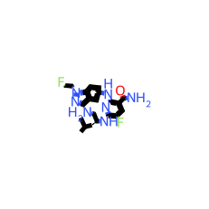 CC(C)C[C@H](CN)Nc1nc(Nc2ccc3c(cnn3CCF)c2)c(C(N)=O)cc1F